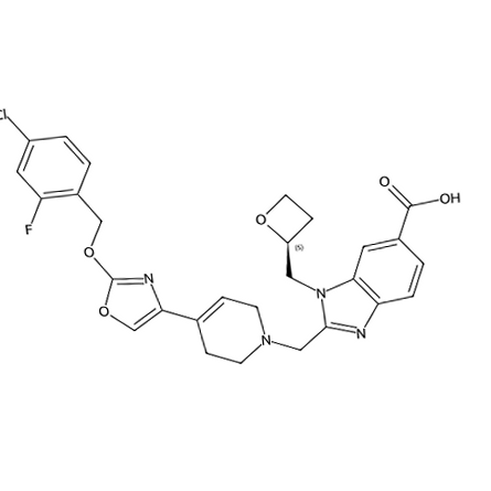 O=C(O)c1ccc2nc(CN3CC=C(c4coc(OCc5ccc(Cl)cc5F)n4)CC3)n(C[C@@H]3CCO3)c2c1